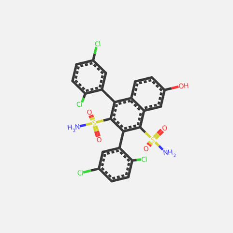 NS(=O)(=O)c1c(-c2cc(Cl)ccc2Cl)c(S(N)(=O)=O)c2cc(O)ccc2c1-c1cc(Cl)ccc1Cl